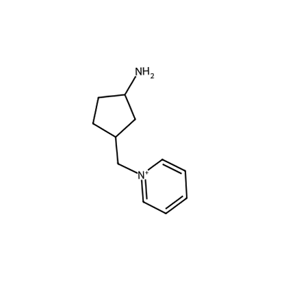 NC1CCC(C[n+]2ccccc2)C1